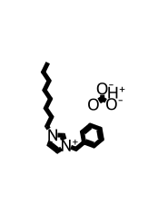 CCCCCCCCn1cc[n+](Cc2ccccc2)c1.O=C([O-])[O-].[H+]